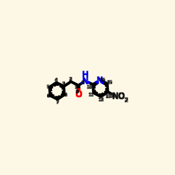 O=C(Cc1ccccc1)Nc1ccc([N+](=O)[O-])cn1